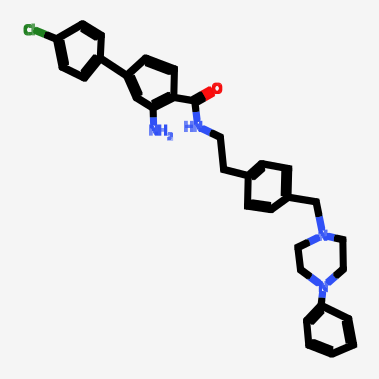 Nc1cc(-c2ccc(Cl)cc2)ccc1C(=O)NCCc1ccc(CN2CCN(c3ccccc3)CC2)cc1